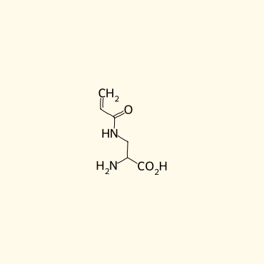 C=CC(=O)NCC(N)C(=O)O